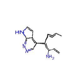 C=C/C(N)=C(\C=C/C)c1cnnc2[nH]ccc12